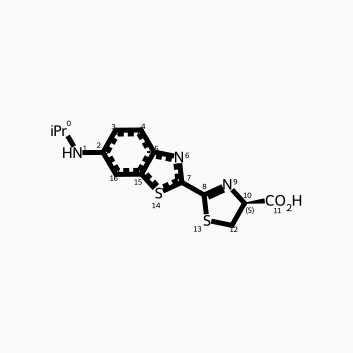 CC(C)Nc1ccc2nc(C3=N[C@@H](C(=O)O)CS3)sc2c1